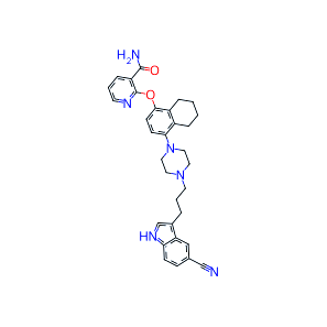 N#Cc1ccc2[nH]cc(CCCN3CCN(c4ccc(Oc5ncccc5C(N)=O)c5c4CCCC5)CC3)c2c1